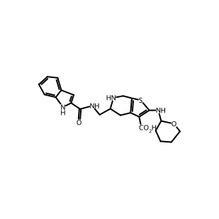 O=C(NCC1Cc2c(sc(NC3CCCCO3)c2C(=O)O)CN1)c1cc2ccccc2[nH]1